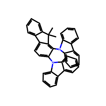 CC1(C)c2ccccc2-c2ccc(-n3c4ccccc4c4ccccc43)c(-n3c4ccccc4c4ccccc43)c21